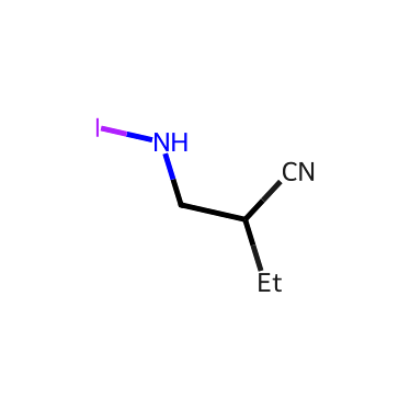 CCC(C#N)CNI